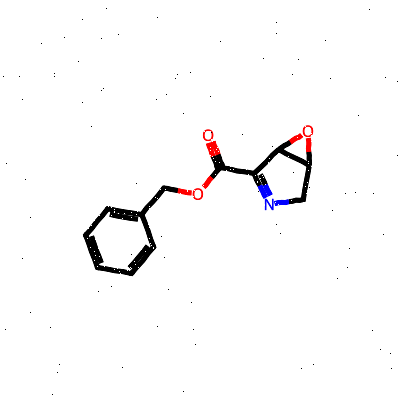 O=C(OCc1ccccc1)C1=NCC2OC12